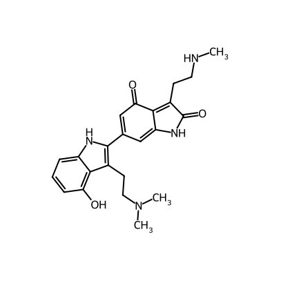 CNCCC1=C2C(=O)C=C(c3[nH]c4cccc(O)c4c3CCN(C)C)C=C2NC1=O